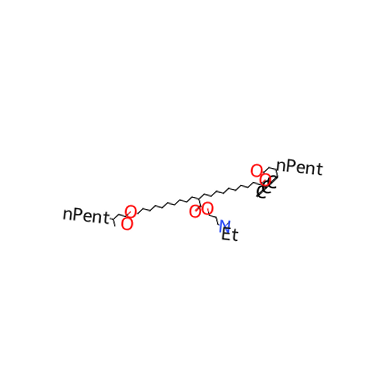 C=C=C=C=CC(CCCCC)CC(=O)OCCCCCCCCCCC(CCCCCCCCCCOC(=O)CC(C)CCCCC)C(=O)OCCCN(C)CC